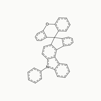 c1ccc(-n2c3ccccc3c3c4c(ccc32)C2(c3ccccc3Oc3ccccc32)c2ccccc2-4)cc1